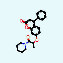 CC(Oc1ccc2c(-c3ccccc3)cc(=O)oc2c1)C(=O)N1CCCCC1